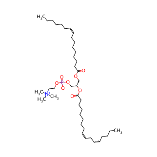 CCCC/C=C\C/C=C\CCCCCCCC(=O)O[C@H](COC(=O)CCCCCCC/C=C\CCCCCC)COP(=O)([O-])OCC[N+](C)(C)C